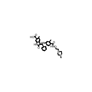 Cc1cc2c(cc1C(=O)O)NC(=O)/C2=C(/Nc1ccc(C(=O)NOCCN2CCN(C)CC2)c(C)c1)c1ccccc1